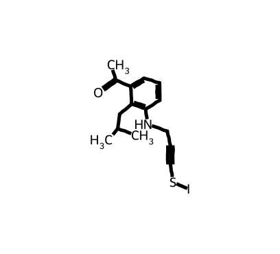 CC(=O)c1cccc(NCC#CSI)c1CC(C)C